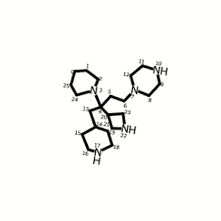 C1CCN(C(CCN2CCNCC2)(CC2CCNCC2)C2CNC2)CC1